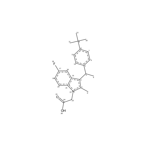 Cc1c(C(C)c2ccc(C(C)(C)C)cc2)c2cc(F)ccc2n1CC(=O)O